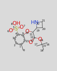 Cc1ccc(S(=O)(=O)O)c(OC(C(=O)OC(C)(C)C)C2CCN2)c1